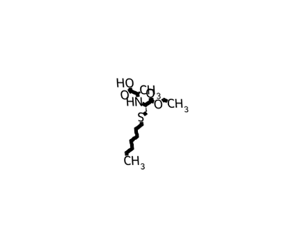 CCCCCCCSC[C@H](N[C@H](C)C(=O)O)C(=O)OCC